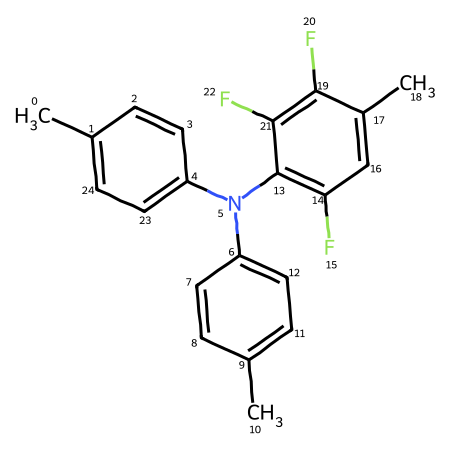 Cc1ccc(N(c2ccc(C)cc2)c2c(F)cc(C)c(F)c2F)cc1